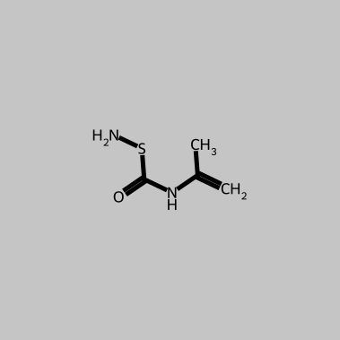 C=C(C)NC(=O)SN